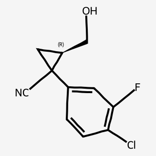 N#CC1(c2ccc(Cl)c(F)c2)C[C@H]1CO